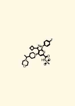 CC(C1CCN(c2cc(C(=O)NS(C)(=O)=O)nc3c2c(C2CCC2)nn3-c2ccc(F)cc2)CC1)N1CCOCC1